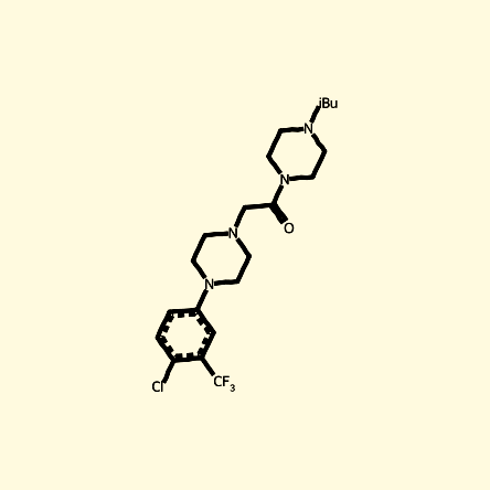 CCC(C)N1CCN(C(=O)CN2CCN(c3ccc(Cl)c(C(F)(F)F)c3)CC2)CC1